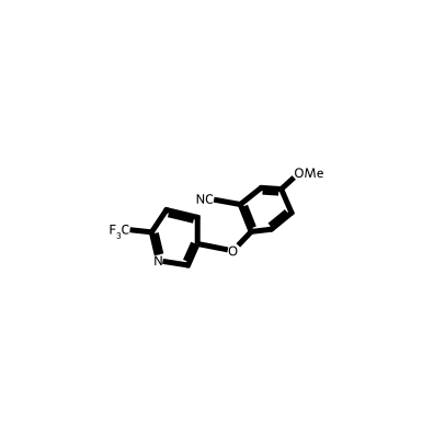 COc1ccc(Oc2ccc(C(F)(F)F)nc2)c(C#N)c1